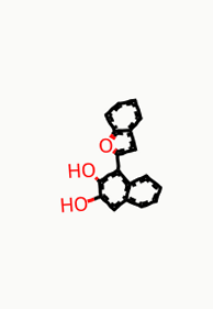 Oc1cc2ccccc2c(-c2cc3ccccc3o2)c1O